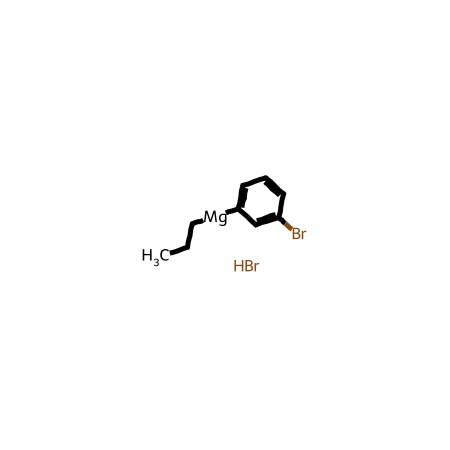 Br.CC[CH2][Mg][c]1cccc(Br)c1